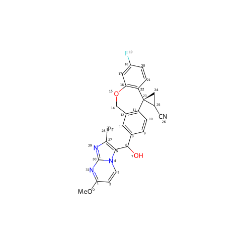 COc1ccn2c(C(O)c3ccc4c(c3)COc3cc(F)ccc3[C@@]43CC3C#N)c(C(C)C)nc2n1